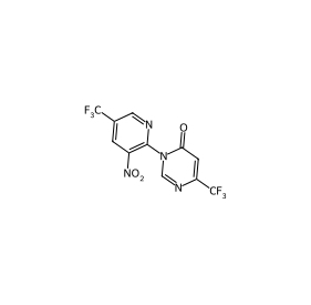 O=c1cc(C(F)(F)F)ncn1-c1ncc(C(F)(F)F)cc1[N+](=O)[O-]